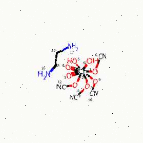 N#C[O][Cr](=[O])(=[O])([OH])([OH])([O]C#N)([O]C#N)[O]C#N.NCCN